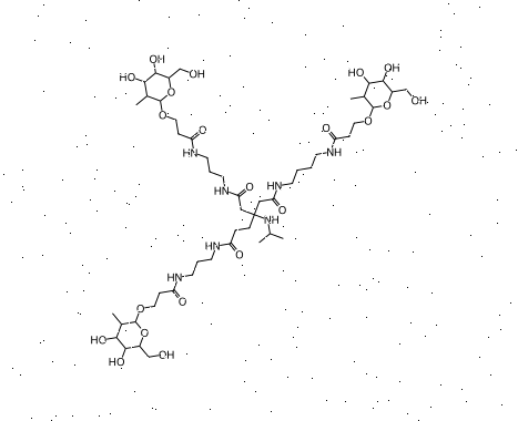 CC(C)NC(CCC(=O)NCCCNC(=O)CCOC1OC(CO)C(O)C(O)C1C)(CC(=O)NCCCCNC(=O)CCOC1OC(CO)C(O)C(O)C1C)CC(=O)NCCCNC(=O)CCOC1OC(CO)C(O)C(O)C1C